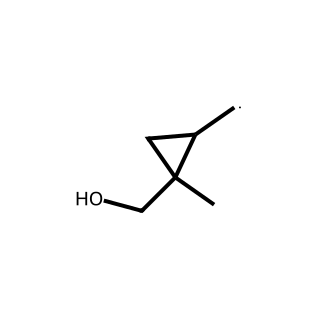 [CH2]C1CC1(C)CO